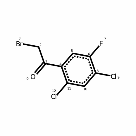 O=C(CBr)c1cc(F)c(Cl)cc1Cl